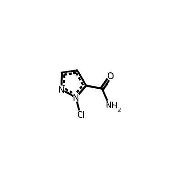 NC(=O)c1ccnn1Cl